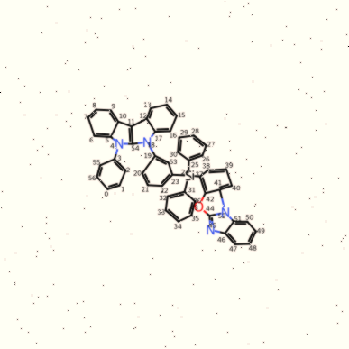 c1ccc(-n2c3ccccc3c3c4ccccc4n(-c4cccc([Si](c5ccccc5)(c5ccccc5)c5cccc6c5oc5nc7ccccc7n56)c4)c32)cc1